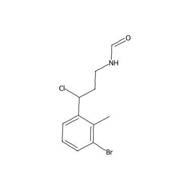 Cc1c(Br)cccc1C(Cl)CCNC=O